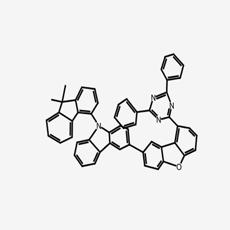 CC1(C)c2ccccc2-c2c(-n3c4ccccc4c4cc(-c5ccc6oc7cccc(-c8nc(-c9ccccc9)nc(-c9ccccc9)n8)c7c6c5)ccc43)cccc21